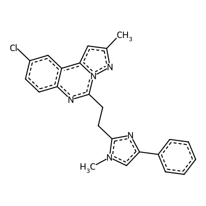 Cc1cc2c3cc(Cl)ccc3nc(CCc3nc(-c4ccccc4)cn3C)n2n1